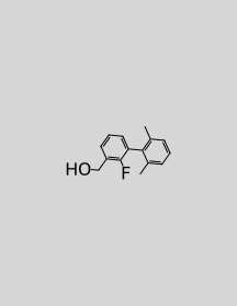 Cc1cccc(C)c1-c1cccc(CO)c1F